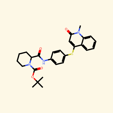 Cn1c(=O)cc(Sc2ccc(NC(=O)C3CCCCN3C(=O)OC(C)(C)C)cc2)c2ccccc21